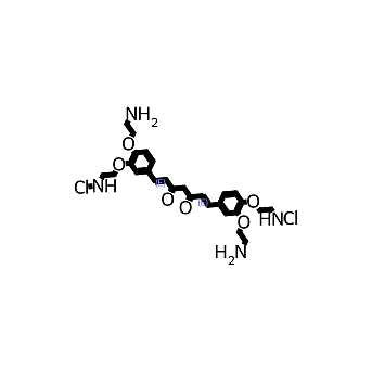 NCCOc1cc(/C=C/C(=O)CC(=O)/C=C/c2ccc(OCCN)c(OCCNCl)c2)ccc1OCCNCl